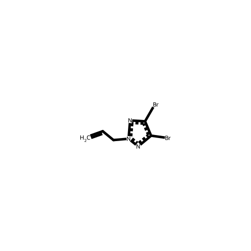 C=CCn1nc(Br)c(Br)n1